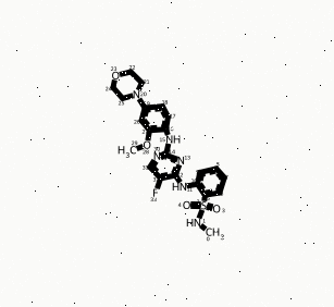 CNS(=O)(=O)c1ccccc1Nc1nc(Nc2ccc(N3CCOCC3)cc2OC)ncc1F